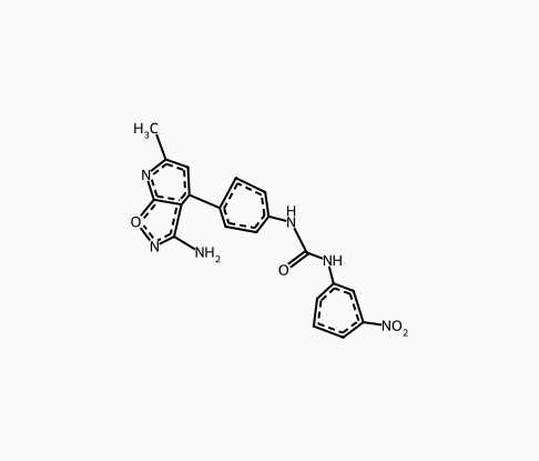 Cc1cc(-c2ccc(NC(=O)Nc3cccc([N+](=O)[O-])c3)cc2)c2c(N)noc2n1